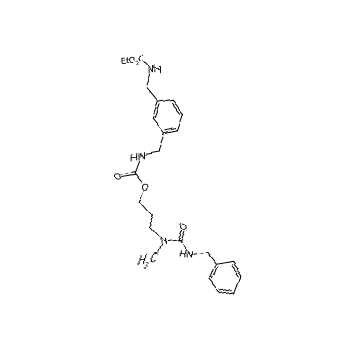 CCOC(=O)NCc1cccc(CNC(=O)OCCCN(C)C(=O)NCc2ccccc2)c1